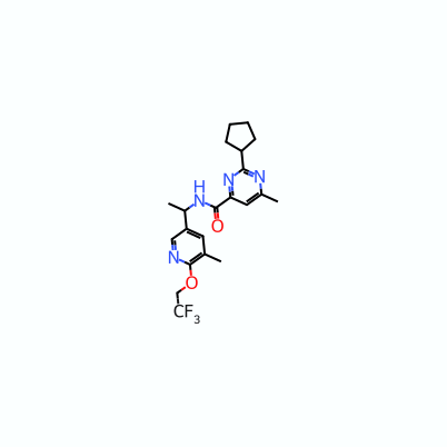 Cc1cc(C(=O)NC(C)c2cnc(OCC(F)(F)F)c(C)c2)nc(C2CCCC2)n1